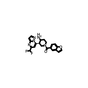 NC1CCN(C(=O)c2ccc3occc3c2)C[C@H]1c1cc(C(F)F)nc2ccnn12